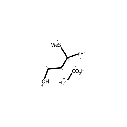 CC(=O)O.CCCC(CCO)SC